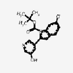 CC(C)(C)OC(=O)n1c(-c2cncc(O)c2)cc2ccc(Cl)cc21